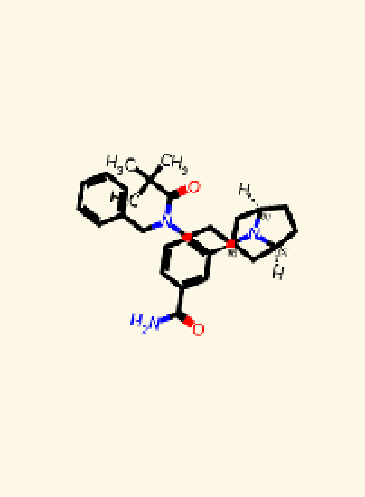 CC(C)(C)C(=O)N(CCCN1[C@@H]2CC[C@H]1C[C@@H](c1cccc(C(N)=O)c1)C2)Cc1ccccc1